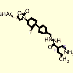 C=C/C=C(\C=C/N)C(=O)NNCc1ccc(-c2ccc(N3C[C@H](CNC(C)=O)OC3=O)cc2F)cc1